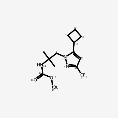 CC(C)(Cn1nc(C(F)(F)F)cc1C1CCC1)NC(=O)OC(C)(C)C